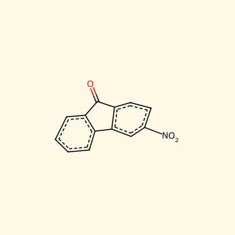 O=C1c2ccccc2-c2cc([N+](=O)[O-])ccc21